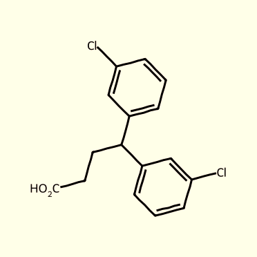 O=C(O)CCC(c1cccc(Cl)c1)c1cccc(Cl)c1